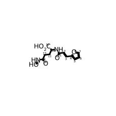 O=C(/C=C/c1ccco1)NC(CCC(=O)NO)C(=O)O